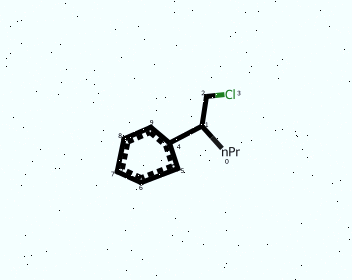 CCCC(CCl)c1ccccc1